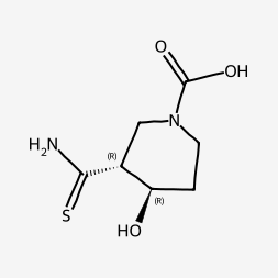 NC(=S)[C@@H]1CN(C(=O)O)CC[C@H]1O